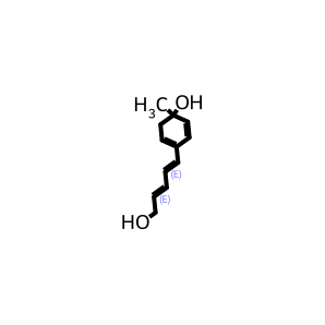 CC1(O)C=CC(/C=C/C=C/CO)=CC1